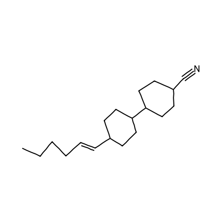 CCCCC=CC1CCC(C2CCC(C#N)CC2)CC1